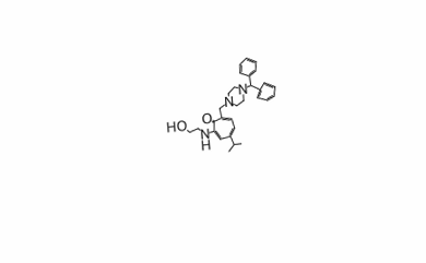 CC(C)c1ccc(CN2CCN(C(c3ccccc3)c3ccccc3)CC2)c(=O)c(NCCO)c1